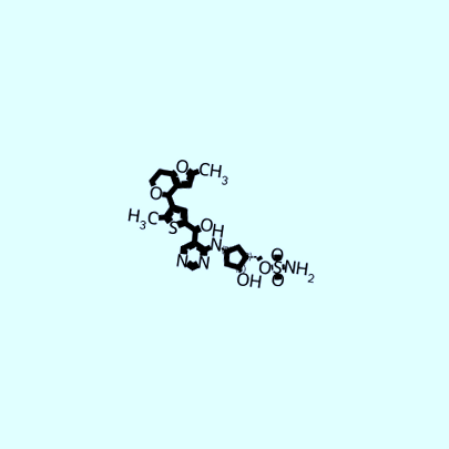 Cc1cc2c(o1)CCOC2c1cc(C(=O)c2cncnc2N[C@@H]2C[C@H](COS(N)(=O)=O)[C@@H](O)C2)sc1C